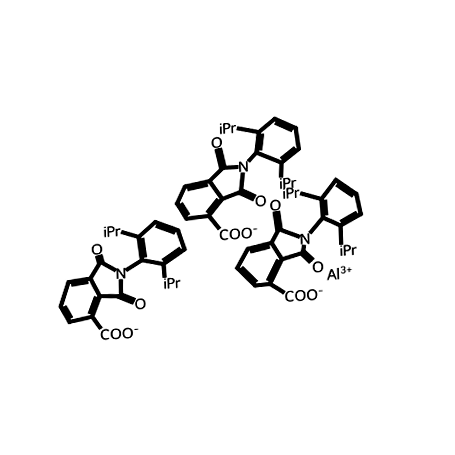 CC(C)c1cccc(C(C)C)c1N1C(=O)c2cccc(C(=O)[O-])c2C1=O.CC(C)c1cccc(C(C)C)c1N1C(=O)c2cccc(C(=O)[O-])c2C1=O.CC(C)c1cccc(C(C)C)c1N1C(=O)c2cccc(C(=O)[O-])c2C1=O.[Al+3]